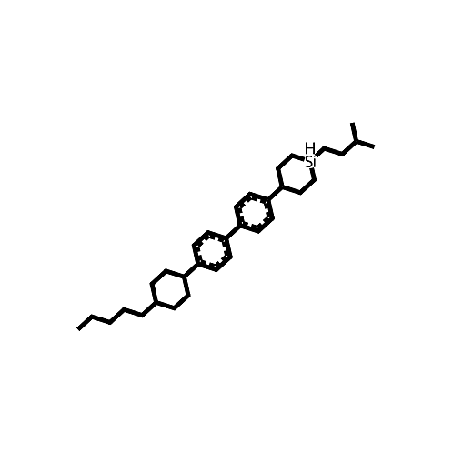 CCCCCC1CCC(c2ccc(-c3ccc(C4CC[SiH](CCC(C)C)CC4)cc3)cc2)CC1